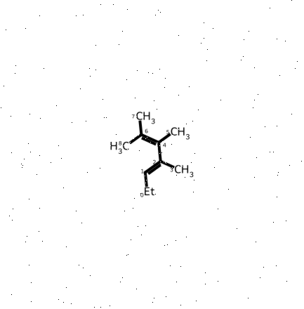 CC/C=C(\C)C(C)=C(C)C